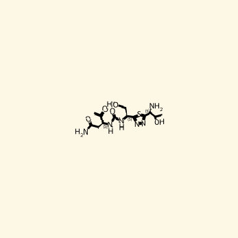 CC(=O)[C@H](CC(N)=O)NC(=O)N[C@@H](CO)c1nnc([C@@H](N)C(C)O)s1